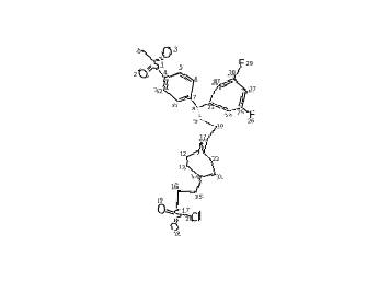 CS(=O)(=O)c1ccc([C@@H](CCN2CCC(CCS(=O)(=O)Cl)CC2)c2cc(F)cc(F)c2)cc1